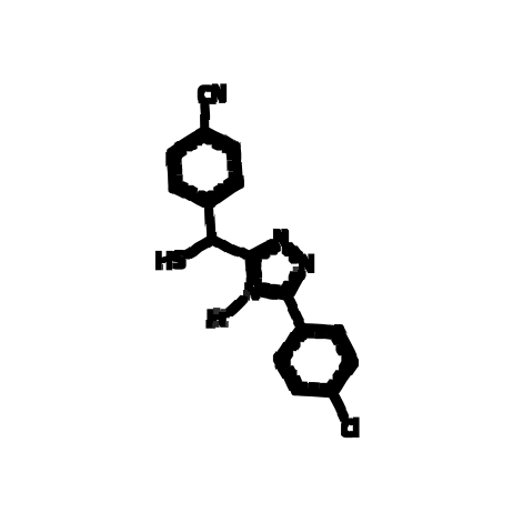 CCn1c(-c2ccc(Cl)cc2)nnc1C(S)c1ccc(C#N)cc1